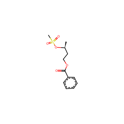 C[C@@H](CCOC(=O)c1ccccc1)OS(C)(=O)=O